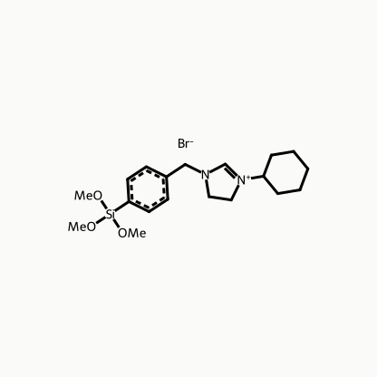 CO[Si](OC)(OC)c1ccc(CN2C=[N+](C3CCCCC3)CC2)cc1.[Br-]